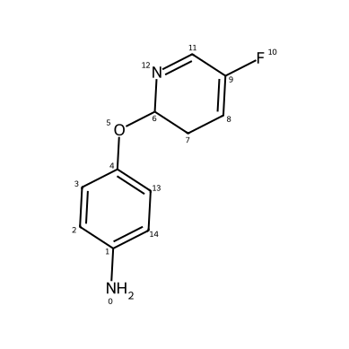 Nc1ccc(OC2CC=C(F)C=N2)cc1